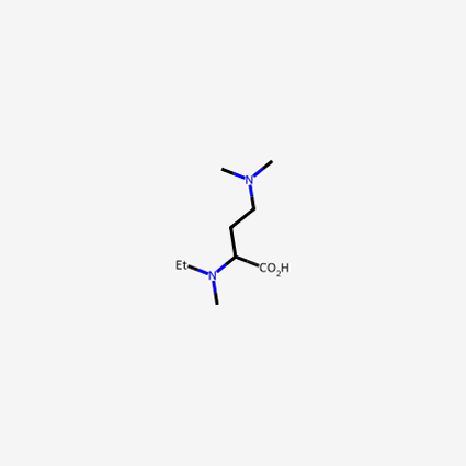 CCN(C)C(CCN(C)C)C(=O)O